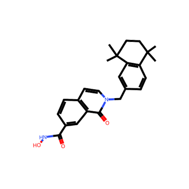 CC1(C)CCC(C)(C)c2cc(Cn3ccc4ccc(C(=O)NO)cc4c3=O)ccc21